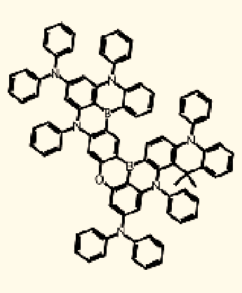 CC1(C)c2ccccc2N(c2ccccc2)c2ccc3c(c21)N(c1ccccc1)c1cc(N(c2ccccc2)c2ccccc2)cc2c1B3c1cc3c(cc1O2)N(c1ccccc1)c1cc(N(c2ccccc2)c2ccccc2)cc2c1B3c1ccccc1N2c1ccccc1